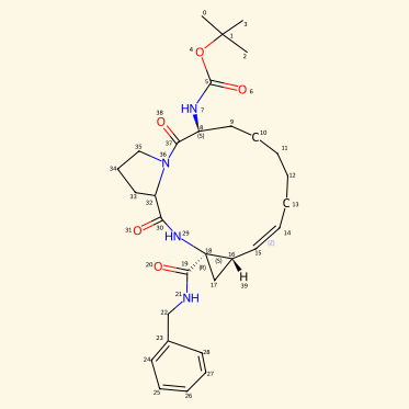 CC(C)(C)OC(=O)N[C@H]1CCCCC/C=C\[C@@H]2C[C@@]2(C(=O)NCc2ccccc2)NC(=O)C2CCCN2C1=O